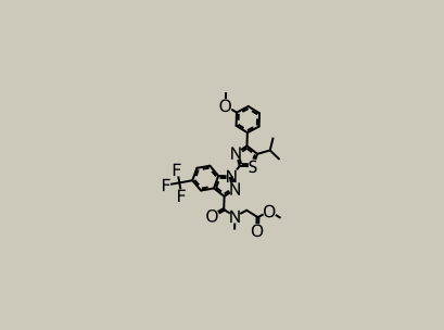 COC(=O)CN(C)C(=O)c1nn(-c2nc(-c3cccc(OC)c3)c(C(C)C)s2)c2ccc(C(F)(F)F)cc12